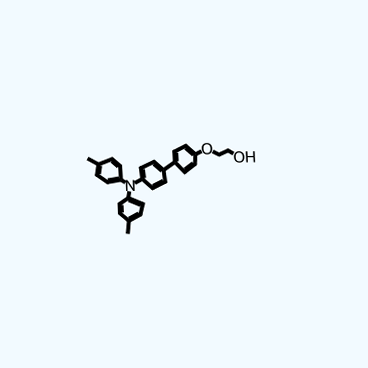 Cc1ccc(N(c2ccc(C)cc2)c2ccc(-c3ccc(OCCO)cc3)cc2)cc1